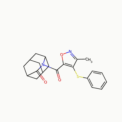 Cc1noc(C(=O)N2C(=O)C3CC4CC(C3)CC2C4)c1Sc1ccccc1